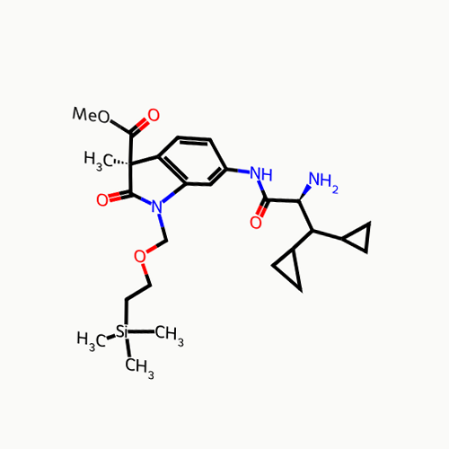 COC(=O)[C@]1(C)C(=O)N(COCC[Si](C)(C)C)c2cc(NC(=O)[C@@H](N)C(C3CC3)C3CC3)ccc21